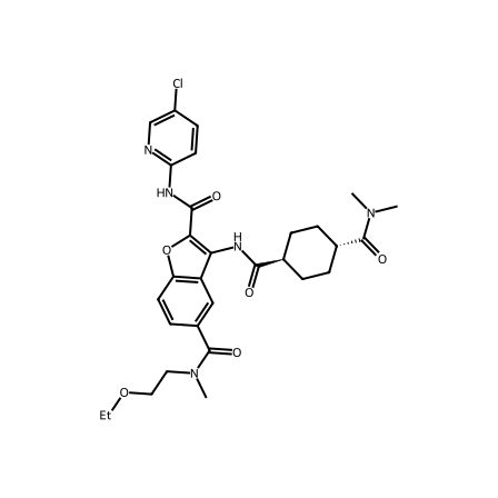 CCOCCN(C)C(=O)c1ccc2oc(C(=O)Nc3ccc(Cl)cn3)c(NC(=O)[C@H]3CC[C@H](C(=O)N(C)C)CC3)c2c1